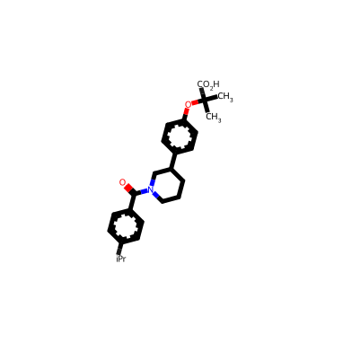 CC(C)c1ccc(C(=O)N2CCCC(c3ccc(OC(C)(C)C(=O)O)cc3)C2)cc1